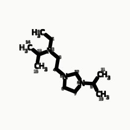 CCN(CCN1CCN(C(C)C)C1)C(C)C